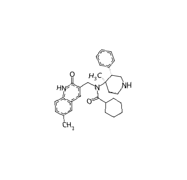 Cc1ccc2[nH]c(=O)c(CN(C(=O)C3CCCCC3)[C@]3(C)CCNC[C@H]3c3ccccc3)cc2c1